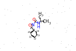 CC(C)NC(=O)N1OC1c1ccccc1